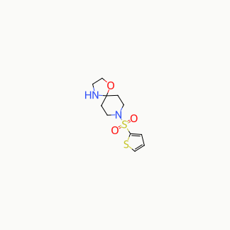 O=S(=O)(c1cccs1)N1CCC2(CC1)NCCO2